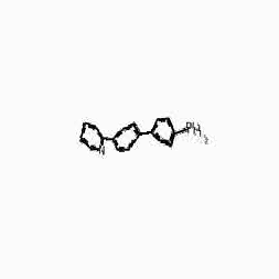 Pc1ccc(-c2ccc(-c3ccccn3)cc2)cc1